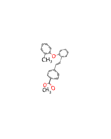 COC(=O)c1ccc(C=Cc2ccccc2Oc2ccccc2C)cc1